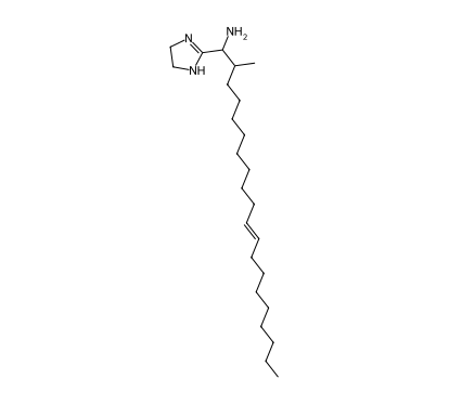 CCCCCCCCC=CCCCCCCCCC(C)C(N)C1=NCCN1